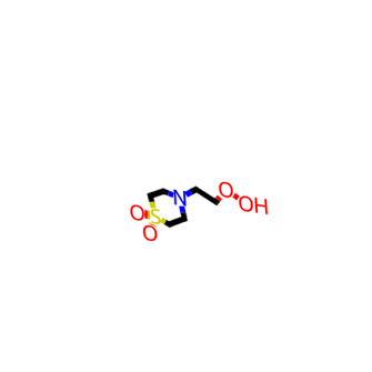 O=S1(=O)CCN(CCOO)CC1